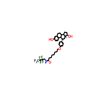 CN(CC(F)(F)C(F)(F)C(F)(F)F)C(=O)CCCCCCCOc1ccc([C@H]2C[C@@]3(C)C(CC[C@@H]3O)C3CCc4cc(O)ccc4C32)cc1